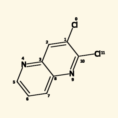 Clc1cc2ncccc2nc1Cl